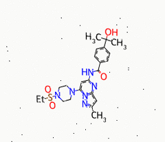 CCS(=O)(=O)N1CCN(c2cc(NC(=O)c3ccc(C(C)(C)O)cc3)nc3cc(C)nn23)CC1